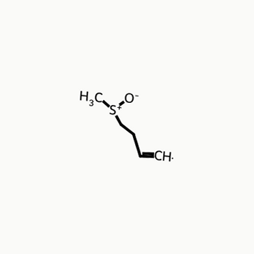 [CH]=CCC[S+](C)[O-]